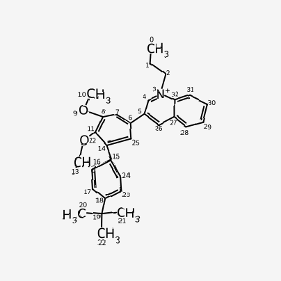 CCC[n+]1cc(-c2cc(OC)c(OC)c(-c3ccc(C(C)(C)C)cc3)c2)cc2ccccc21